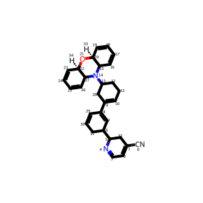 N#CC1=CC=NC(C2C=C(C3=CCCC(N4C5C=CC=C[C@@H]5O[C@@H]5C=CC=CC54)C3)C=CC2)C1